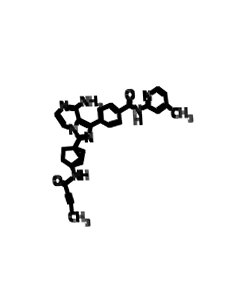 CC#CC(=O)NC12CCC(c3nc(-c4ccc(C(=O)Nc5cc(C)ccn5)cc4)c4c(N)nccn34)(CC1)C2